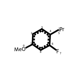 COc1ccc(C(C)C)c(F)c1